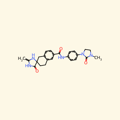 C=C1NC(=O)C2(CCc3cc(C(=O)Nc4ccc(N5CCN(C)C5=O)cc4)ccc3C2)N1